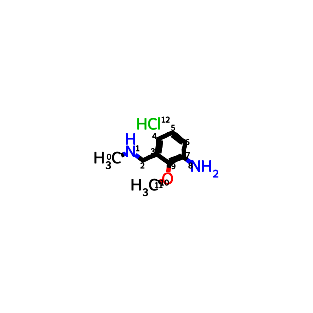 CNCc1cccc(N)c1OC.Cl